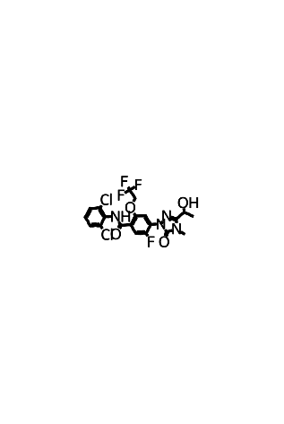 CC(O)c1nn(-c2cc(OCC(F)(F)F)c(C(=O)Nc3c(Cl)cccc3Cl)cc2F)c(=O)n1C